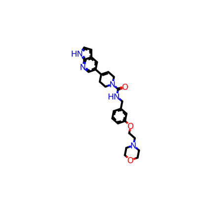 O=C(NCc1cccc(OCCN2CCOCC2)c1)N1CC=C(c2cnc3[nH]ccc3c2)CC1